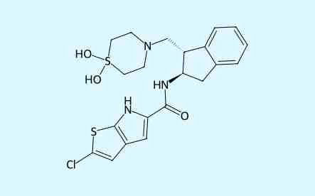 O=C(N[C@@H]1Cc2ccccc2[C@H]1CN1CCS(O)(O)CC1)c1cc2cc(Cl)sc2[nH]1